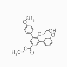 CCOC(=O)c1cc(-c2ccc(OC)cc2)c(OCCO)c(-c2cccc(Cl)c2)c1